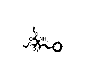 CCOC(=O)C(N)(C(=O)/C=C/c1ccccc1)C(=O)OCC